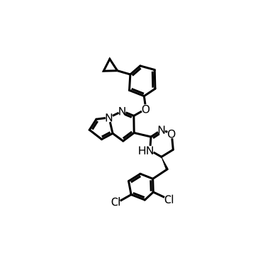 Clc1ccc(C[C@@H]2CON=C(c3cc4cccn4nc3Oc3cccc(C4CC4)c3)N2)c(Cl)c1